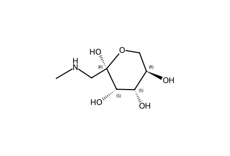 CNC[C@@]1(O)OC[C@@H](O)[C@H](O)[C@@H]1O